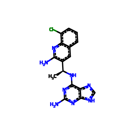 C[C@H](Nc1nc(N)nc2[nH]cnc12)c1cc2cccc(Cl)c2nc1N